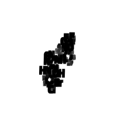 O=S(=O)(N1CCC(Nc2nonc2/C(=N/O)Nc2ccc(Cl)c(Br)c2)C2CCCCC21)C(F)(F)F